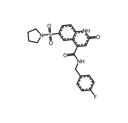 O=C(NCc1ccc(F)cc1)c1cc(=O)[nH]c2ccc(S(=O)(=O)N3CCCC3)cc12